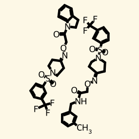 Cc1cccc(CNC(=O)CON=C2CCN(S(=O)(=O)c3cccc(C(F)(F)F)c3)CC2)c1.O=C(CON=C1CCN(S(=O)(=O)c2cccc(C(F)(F)F)c2)CC1)N1CCc2ccccc21